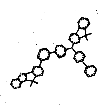 CC1(C)c2ccccc2-c2ccc(N(c3ccc(-c4ccccc4)cc3)c3ccc(-c4cccc(-c5ccc6c(c5)-c5sc7ccccc7c5C6(C)C)c4)cc3)cc21